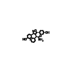 NC(=O)C(c1cccnc1)c1c(-c2ccc(O)cc2)noc1-c1ccc(O)cc1